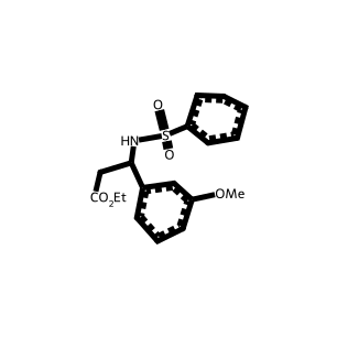 CCOC(=O)CC(NS(=O)(=O)c1ccccc1)c1cccc(OC)c1